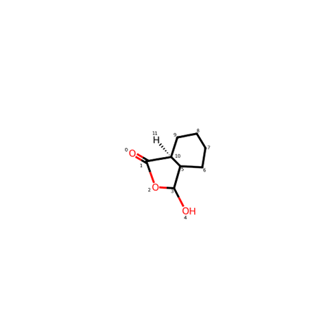 O=C1OC(O)C2CCCC[C@H]12